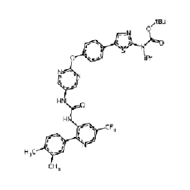 Cc1ccc(-c2ncc(C(F)(F)F)cc2NC(=O)Nc2cnc(Oc3ccc(-c4cnc(N(C(=O)OC(C)(C)C)C(C)C)s4)cc3)nc2)cc1C